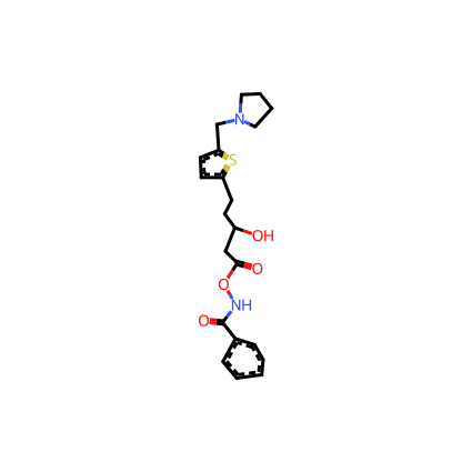 O=C(CC(O)CCc1ccc(CN2CCCC2)s1)ONC(=O)c1ccccc1